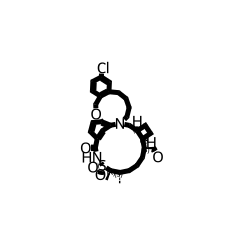 C[C@@H]1[C@@H](C)CCC[C@H](C=O)[C@@H]2CC[C@H]2CN2CCCCc3cc(Cl)ccc3COc3ccc(cc32)C(=O)NS1(=O)=O